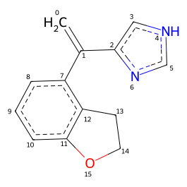 C=C(c1c[nH]cn1)c1cccc2c1CCO2